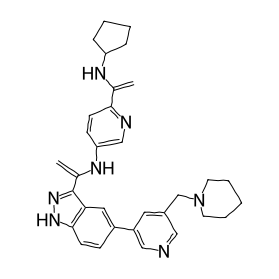 C=C(NC1CCCC1)c1ccc(NC(=C)c2n[nH]c3ccc(-c4cncc(CN5CCCCC5)c4)cc23)cn1